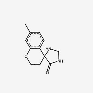 Cc1ccc2c(c1)OCCC21NCNC1=O